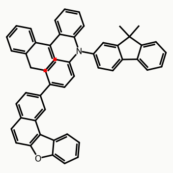 CC1(C)c2ccccc2-c2ccc(N(c3ccc(-c4ccc5ccc6oc7ccccc7c6c5c4)cc3)c3ccccc3C3=CCCc4ccccc43)cc21